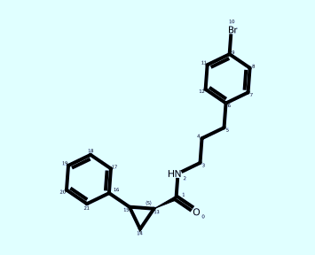 O=C(NCCCc1ccc(Br)cc1)[C@H]1CC1c1ccccc1